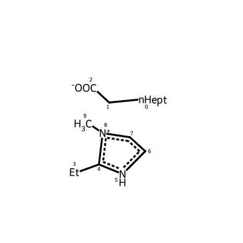 CCCCCCCCC(=O)[O-].CCc1[nH]cc[n+]1C